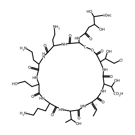 C/C=C1\NC(=O)C(C(C)O)NC(=O)C(CCCN)NC(=O)C(CCO)NC(=O)C(CCN)NC(=O)C(CCN)NC(=O)C(NC(=O)CC(O)C(O)CCCCCCCCCC)COC(=O)C(C(O)CCl)NC(=O)C(C(O)C(=O)O)NC1=O